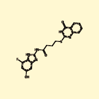 O=C(CCCSc1nc2ccccc2c(=O)[nH]1)Nc1nc2cc(O)cc(F)c2[nH]1